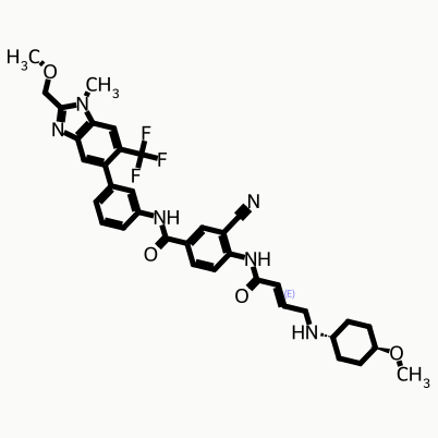 COCc1nc2cc(-c3cccc(NC(=O)c4ccc(NC(=O)/C=C/CN[C@H]5CC[C@H](OC)CC5)c(C#N)c4)c3)c(C(F)(F)F)cc2n1C